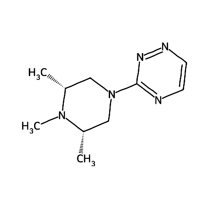 C[C@@H]1CN(c2nccnn2)C[C@H](C)N1C